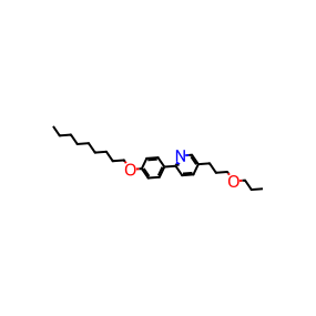 CCCCCCCCCOc1ccc(-c2ccc(CCCOCCC)cn2)cc1